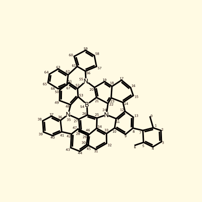 Cc1cccc(C)c1-c1cc2c3c(c1)-c1cccc4cc5c6c(c14)N3c1c3c(cc4cccc-2c14)N(c1ccccc1-c1ccccc1)c1cccc(c1B36)N5c1ccccc1-c1ccccc1